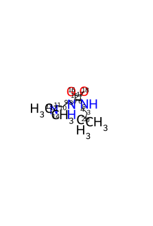 CC(C)CCNc1c(NCCCN(C)C)c(=O)c1=O